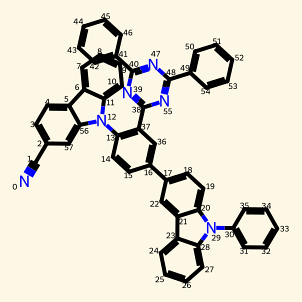 N#Cc1ccc2c3ccccc3n(-c3ccc(-c4ccc5c(c4)c4ccccc4n5-c4ccccc4)cc3-c3nc(-c4ccccc4)nc(-c4ccccc4)n3)c2c1